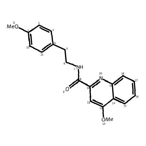 COc1ccc(CCNC(=O)c2cc(OC)c3ccccc3n2)cc1